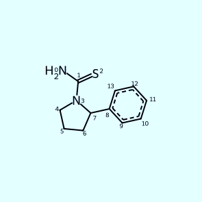 NC(=S)N1CCCC1c1ccccc1